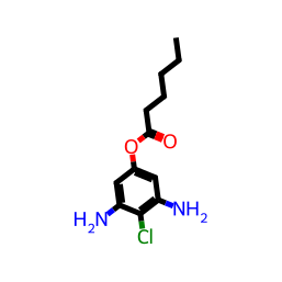 CCCCCC(=O)Oc1cc(N)c(Cl)c(N)c1